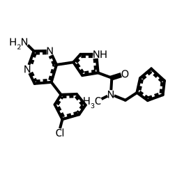 CN(Cc1ccccc1)C(=O)c1cc(-c2nc(N)ncc2-c2cccc(Cl)c2)c[nH]1